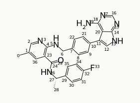 Cc1cnc(NCc2ccc(-c3c[nH]c4ncnc(N)c34)cc2)c(C(=O)N[C@@H](C)c2ccc(F)cc2)c1